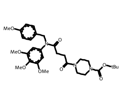 COc1ccc(CN(C(=O)CCC(=O)N2CCN(C(=O)OC(C)(C)C)CC2)c2cc(OC)c(OC)c(OC)c2)cc1